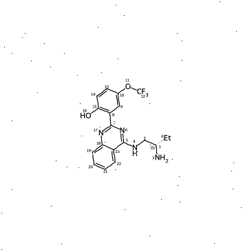 CC[C@H](N)CNc1nc(-c2cc(OC(F)(F)F)ccc2O)nc2ccccc12